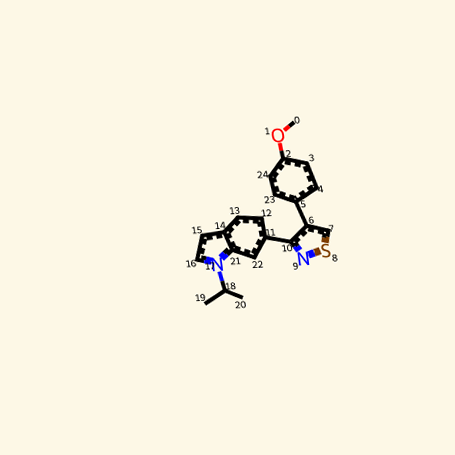 COc1ccc(-c2csnc2-c2ccc3ccn(C(C)C)c3c2)cc1